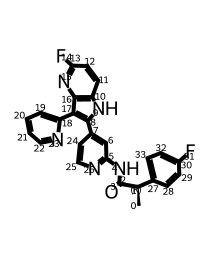 C[C@@H](C(=O)Nc1cc(-c2[nH]c3ccc(F)nc3c2-c2ccccn2)ccn1)c1ccc(F)cc1